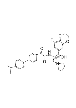 CC(C)c1ccc(-c2ccc(C(=O)C(=O)N[C@H](CN3CCCC3)[C@H](O)c3cc(F)c4c(c3)OCCO4)cc2)cc1